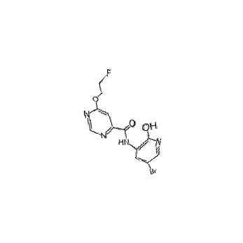 O=C(Nc1cc(Br)cnc1O)c1cc(OCCF)ncn1